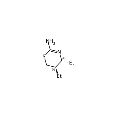 CC[C@H]1CSC(N)=N[C@@H]1CC